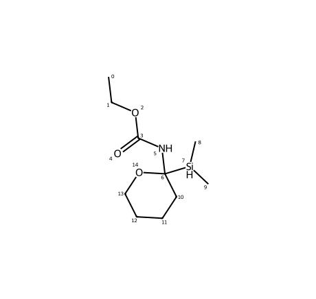 CCOC(=O)NC1([SiH](C)C)CCCCO1